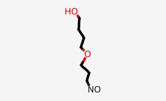 O=NCCCOCCCCO